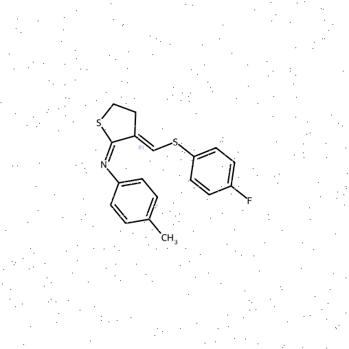 Cc1ccc(N=C2SCC/C2=C\Sc2ccc(F)cc2)cc1